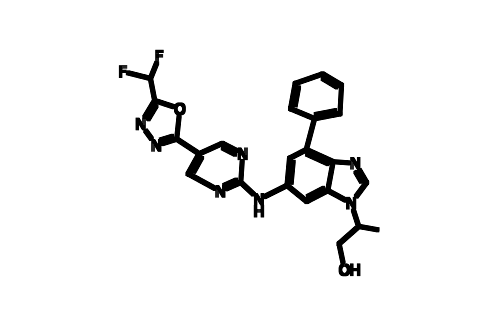 CC(CO)n1cnc2c(-c3ccccc3)cc(Nc3ncc(-c4nnc(C(F)F)o4)cn3)cc21